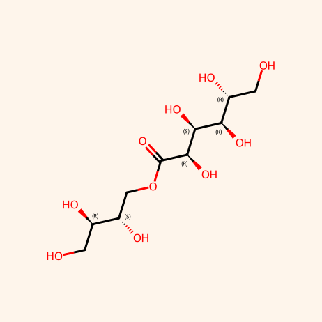 O=C(OC[C@H](O)[C@H](O)CO)[C@H](O)[C@@H](O)[C@H](O)[C@H](O)CO